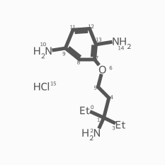 CCC(N)(CC)CCOc1cc(N)ccc1N.Cl